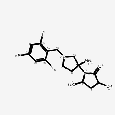 CC1CC(O)C(=O)N1C1(N)CCN(Cc2c(F)cc(F)cc2F)C1